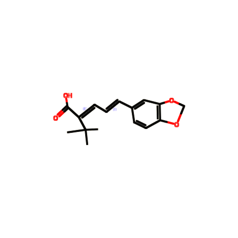 CC(C)(C)/C(=C\C=C\c1ccc2c(c1)OCO2)C(=O)O